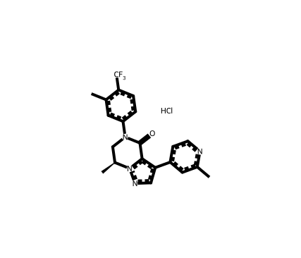 Cc1cc(-c2cnn3c2C(=O)N(c2ccc(C(F)(F)F)c(C)c2)C[C@@H]3C)ccn1.Cl